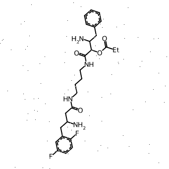 CCC(=O)OC(C(=O)NCCCCNC(=O)CC(N)Cc1cc(F)ccc1F)C(N)Cc1ccccc1